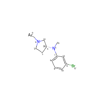 CC(=O)N1CC[C@@H](N(C)c2cccc(Br)c2)C1